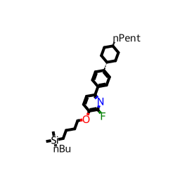 CCCCC[C@H]1CC[C@H](c2ccc(-c3ccc(OCCCC[Si](C)(C)CCCC)c(F)n3)cc2)CC1